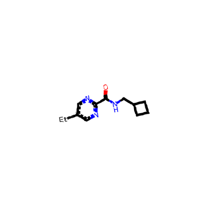 CCc1cnc(C(=O)NCC2CCC2)nc1